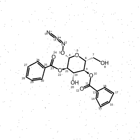 [N-]=[N+]=NO[C@@H]1O[C@H](CO)[C@@H](OC(=O)c2ccccc2)[C@H](O)[C@H]1OC(=O)c1ccccc1